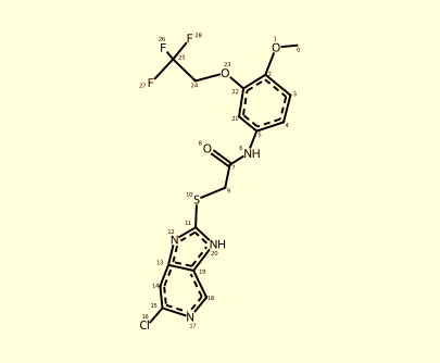 COc1ccc(NC(=O)CSc2nc3cc(Cl)ncc3[nH]2)cc1OCC(F)(F)F